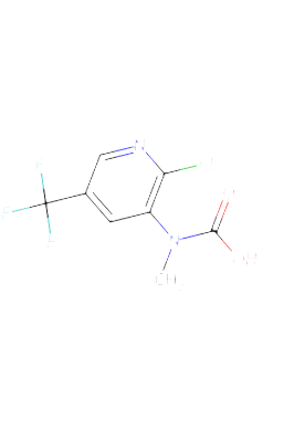 CN(C(=O)O)c1cc(C(F)(F)F)cnc1Cl